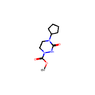 CC(C)(C)OC(=O)N1CCN(C2CCCC2)C(=O)N1